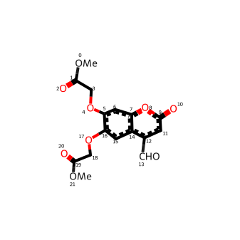 COC(=O)COc1cc2oc(=O)cc(C=O)c2cc1OCC(=O)OC